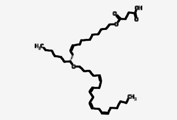 CCCCC/C=C\C/C=C\C/C=C\C/C=C\CCCCO[C@@H](C/C=C\CCCCCCCCOC(=O)CCC(=O)O)CCCCCC